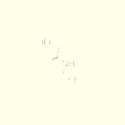 CC(C)CC(=O)NCC(F)(F)F